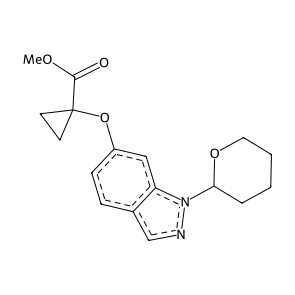 COC(=O)C1(Oc2ccc3cnn(C4CCCCO4)c3c2)CC1